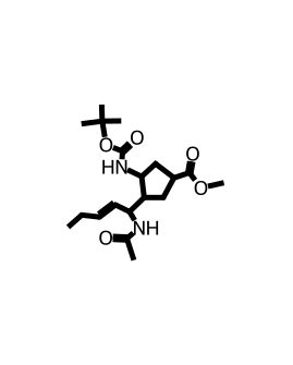 CCC=CC(NC(C)=O)C1CC(C(=O)OC)CC1NC(=O)OC(C)(C)C